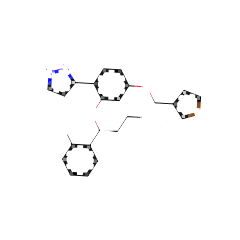 Cc1ccccc1[C@H](CCC(=O)O)Oc1cc(OCc2ccsc2)ccc1-c1cc[nH]n1